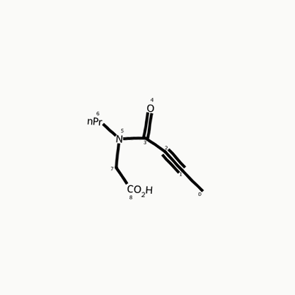 CC#CC(=O)N(CCC)CC(=O)O